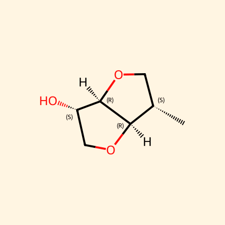 C[C@H]1CO[C@H]2[C@@H]1OC[C@@H]2O